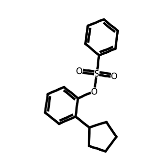 O=S(=O)(Oc1ccccc1C1CCCC1)c1ccccc1